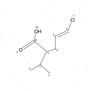 CC(C)C(CC=CCl)C(=O)O